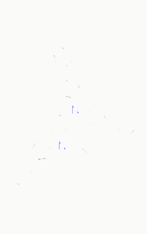 CC1(C)c2ccccc2-c2cc3c(cc21)c1ccc(N(c2ccc(-c4ccccc4)cc2)c2ccc(-c4ccccc4)cc2)cc1n3-c1ccccc1